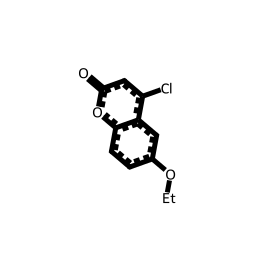 CCOc1ccc2oc(=O)cc(Cl)c2c1